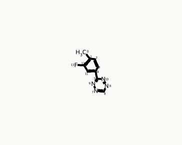 Cc1ccc(-c2nncnn2)cc1F